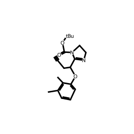 C#CCC(Oc1cccc(C)c1C)C1=NCCN1C(=O)OC(C)(C)C